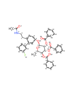 CC(=O)NCCc1ccc(O[C@@H]2O[C@@H](C)[C@H](OC(=O)c3ccccc3)[C@@H](OC(=O)c3ccccc3)[C@H]2OC(=O)c2ccccc2)cc1-c1cccc(F)c1